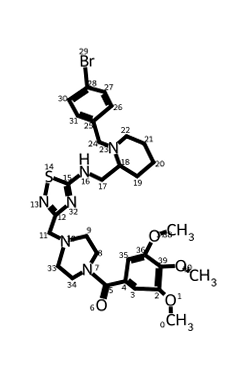 COc1cc(C(=O)N2CCN(Cc3nsc(NCC4CCCCN4Cc4ccc(Br)cc4)n3)CC2)cc(OC)c1OC